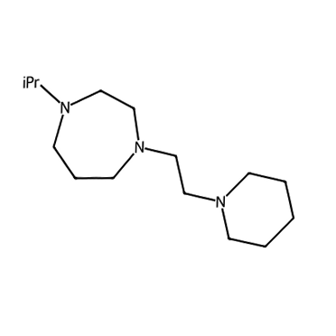 CC(C)N1CCCN(CCN2CCCCC2)CC1